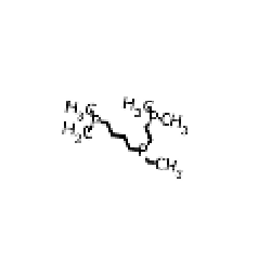 CCP(CCCCP(C)C)CCP(C)C